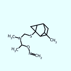 C=NOC(C)N(C)CSC12CC1C1CCC2C(C)C1